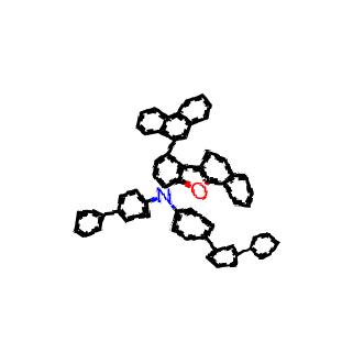 c1ccc(-c2ccc(N(c3ccc(-c4cccc(-c5ccccc5)c4)cc3)c3ccc(-c4cc5ccccc5c5ccccc45)c4c3oc3c5ccccc5ccc34)cc2)cc1